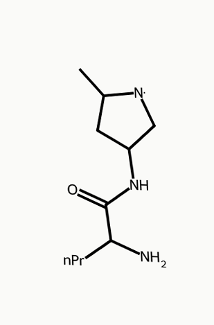 CCCC(N)C(=O)NC1C[N]C(C)C1